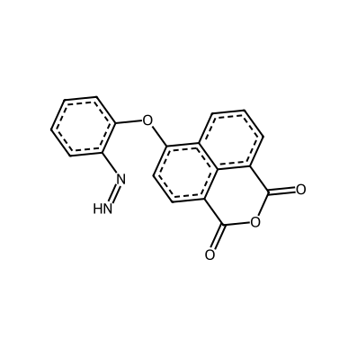 N=Nc1ccccc1Oc1ccc2c3c(cccc13)C(=O)OC2=O